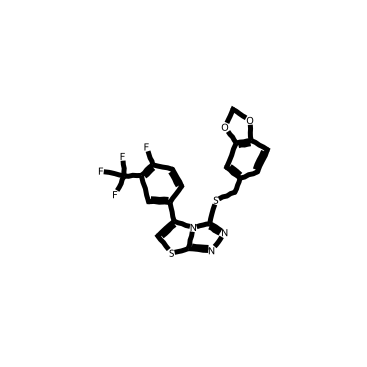 Fc1ccc(-c2csc3nnc(SCc4ccc5c(c4)OCO5)n23)cc1C(F)(F)F